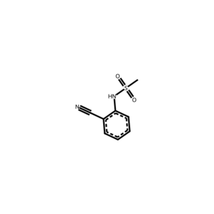 CS(=O)(=O)Nc1ccccc1C#N